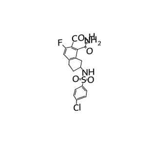 NC(=O)c1c2c(cc(F)c1C(=O)O)CCC(NS(=O)(=O)c1ccc(Cl)cc1)C2